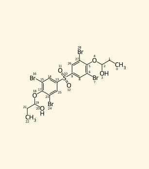 CCC(O)Oc1c(Br)cc(S(=O)(=O)c2cc(Br)c(OC(O)CC)c(Br)c2)cc1Br